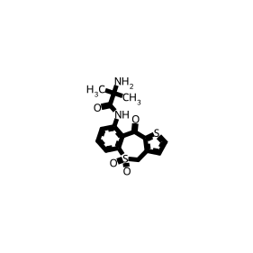 CC(C)(N)C(=O)Nc1cccc2c1C(=O)c1sccc1CS2(=O)=O